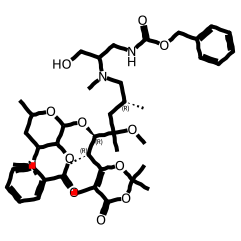 COC(C)(C[C@@H](C)CN(C)C(CO)CNC(=O)OCc1ccccc1)[C@H](OC1OC(C)CC(N(C)C)C1OC(=O)c1ccccc1)[C@@H](C)C1=C(C)C(=O)OC(C)(C)O1